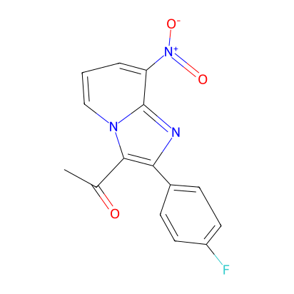 CC(=O)c1c(-c2ccc(F)cc2)nc2c([N+](=O)[O-])cccn12